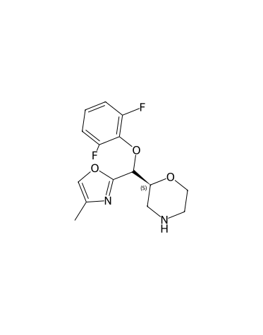 Cc1coc(C(Oc2c(F)cccc2F)[C@@H]2CNCCO2)n1